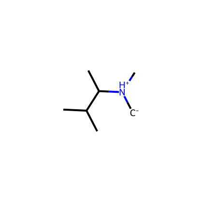 [CH2-][NH+](C)C(C)C(C)C